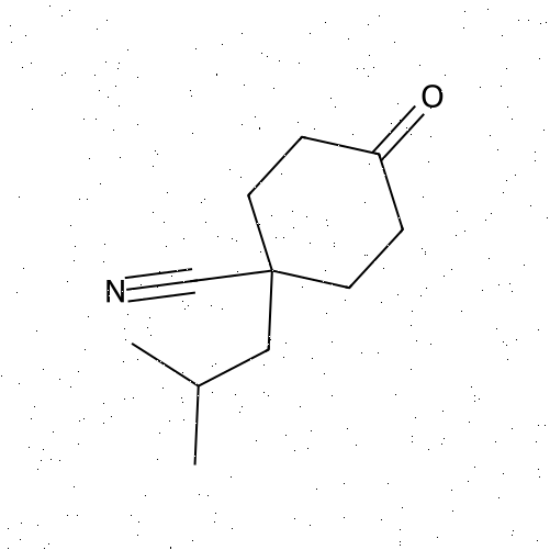 CC(C)CC1(C#N)CCC(=O)CC1